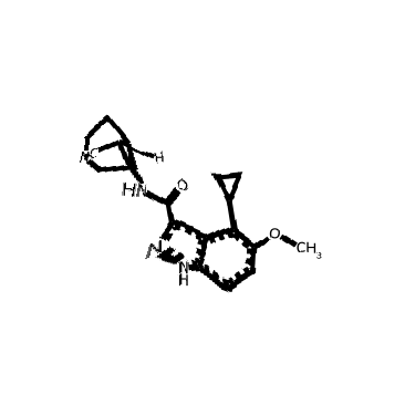 COc1ccc2[nH]nc(C(=O)N[C@@H]3CN4CCC3CC4)c2c1C1CC1